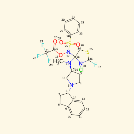 CN([C@H]1CCN([C@H]2CCc3ccccc32)C1)C1(N(OC(=O)C(F)(F)F)S(=O)(=O)c2ccccc2)CSC(F)N1Cl